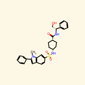 Cn1c(-c2ccccc2)cc2ccc(S(=O)(=O)N[C@H]3CC[C@H](C(=O)N[C@H](CO)c4ccccc4)CC3)cc21